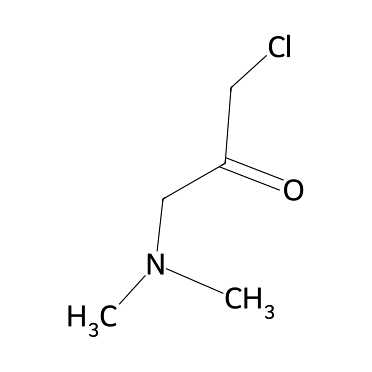 CN(C)CC(=O)CCl